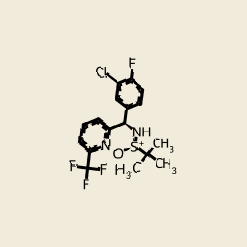 CC(C)(C)[S@@+]([O-])N[C@H](c1ccc(F)c(Cl)c1)c1cccc(C(F)(F)F)n1